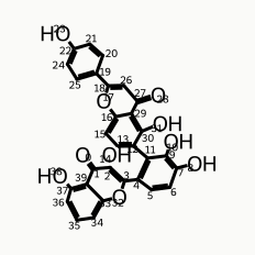 O=c1cc(-c2ccc(O)c(O)c2-c2c(O)cc3oc(-c4ccc(O)cc4)cc(=O)c3c2O)oc2cccc(O)c12